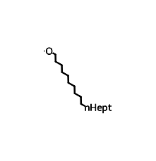 [CH2]CCCCCCCCCCCCCCCC[O]